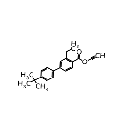 C#COC(=O)c1ccc(-c2ccc(C(C)(C)C)cc2)cc1CC